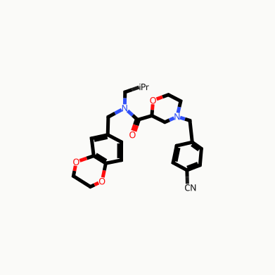 CC(C)CN(Cc1ccc2c(c1)OCCO2)C(=O)C1CN(Cc2ccc(C#N)cc2)CCO1